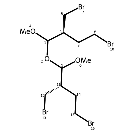 COC(OC(OC)[C@@H](CBr)CCBr)[C@@H](CBr)CCBr